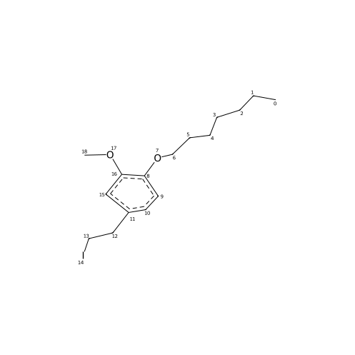 CCCCCCCOc1ccc(CCI)cc1OC